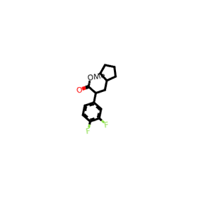 COC(=O)C(CC1CCCC1)c1ccc(F)c(F)c1